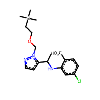 CC(Nc1cc(Cl)ccc1C(=O)O)c1ccnn1COCC[Si](C)(C)C